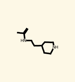 C=C(C)NCCC1CCNCC1